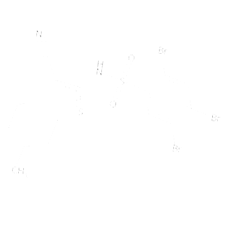 CC1CCc2c(sc(NS(=O)(=O)c3cc(Br)c(Br)cc3Br)c2C#N)C1